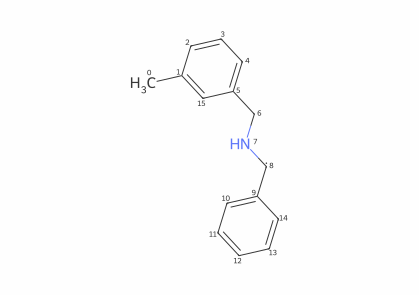 Cc1cccc(CN[CH]c2ccccc2)c1